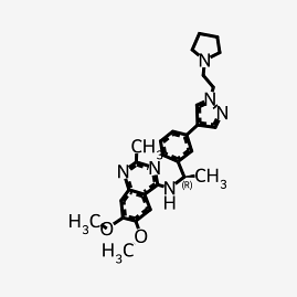 COc1cc2nc(C)nc(N[C@H](C)c3cccc(-c4cnn(CCN5CCCC5)c4)c3)c2cc1OC